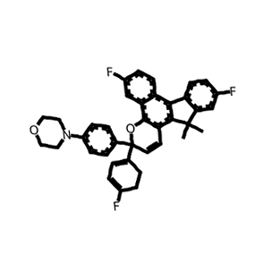 CC1(C)c2cc(F)ccc2-c2c1c1c(c3cc(F)ccc23)OC(C2=CC=C(F)CC2)(c2ccc(N3CCOCC3)cc2)C=C1